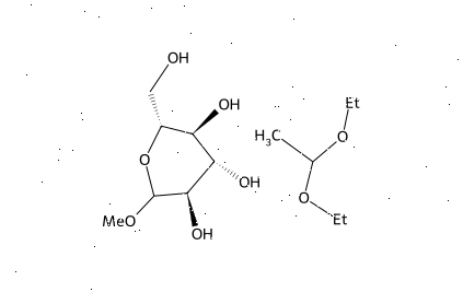 CCOC(C)OCC.COC1O[C@H](CO)[C@@H](O)[C@H](O)[C@H]1O